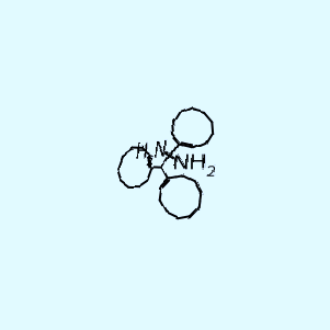 NC(N)(C1=CCCCCCCCC1)C(C1=CCCCCCCCC1)C1=CCCCCCCCC1